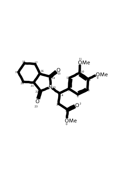 COC(=O)CC(c1ccc(OC)c(OC)c1)N1C(=O)C2CCCCC2C1=O